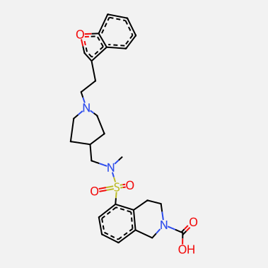 CN(CC1CCN(CCc2coc3ccccc23)CC1)S(=O)(=O)c1cccc2c1CCN(C(=O)O)C2